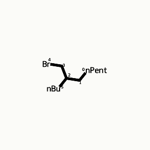 CCCCCCC(CBr)CCCC